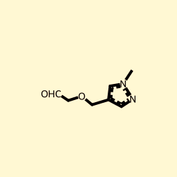 Cn1cc(COCC=O)cn1